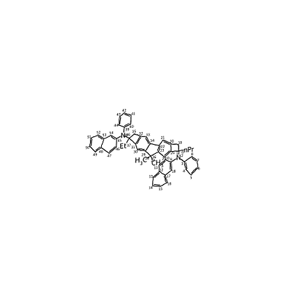 CCCC1(N(c2ccccc2)c2ccc3ccccc3c2)Cc2cc3c(cc21)C(C)(C)c1cc2c(cc1-3)CC2(CC)N(c1ccccc1)c1ccc2ccccc2c1